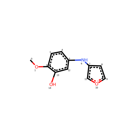 COc1ccc(Nc2ccoc2)cc1O